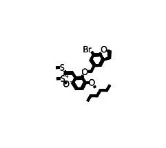 CCCCCC.COc1cccc(C=C(SC)[S+](C)[O-])c1OCc1cc(Br)c2occc2c1